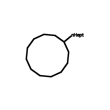 CCCCCCCC1CCCCCCCCCCC1